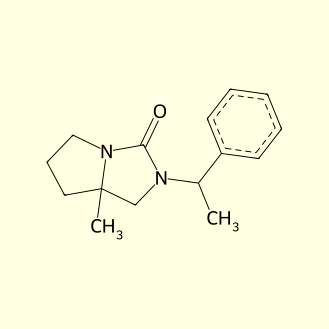 CC(c1ccccc1)N1CC2(C)CCCN2C1=O